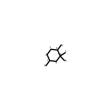 CC1CCC(C)C(C)(C)C1